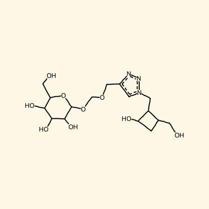 OCC1CC(O)C1Cn1cc(COCOC2OC(CO)C(O)C(O)C2O)nn1